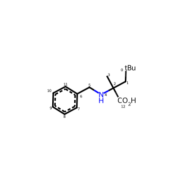 CC(C)(C)CC(C)(NCc1ccccc1)C(=O)O